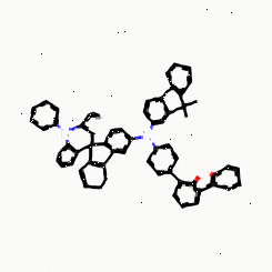 CC1(C)c2ccccc2-c2ccc(N(c3ccc(-c4cccc5c4oc4ccccc45)cc3)c3ccc4c(c3)C3=C(C=CCC3)C43c4ccccc4N(c4ccccc4)c4ccccc43)cc21